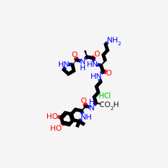 C[C@H](NC(=O)[C@@H]1CCCN1)C(=O)N[C@@H](CCCCN)C(=O)NCCCC[C@H](NC(=O)[C@@H]1Cc2cc(O)c(O)cc2C(C)(C)N1)C(=O)O.Cl